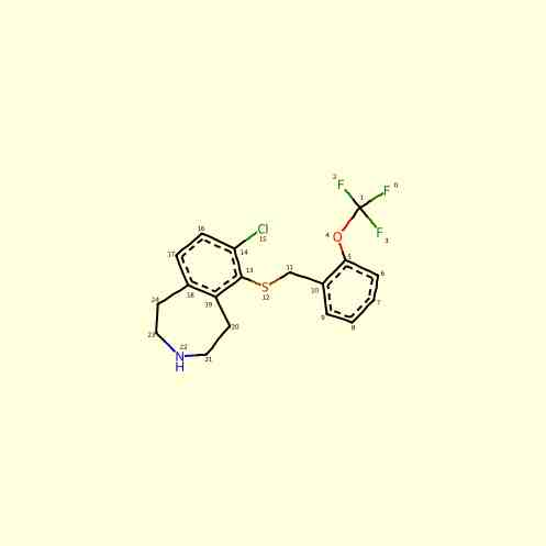 FC(F)(F)Oc1ccccc1CSc1c(Cl)ccc2c1CCNCC2